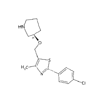 Cc1nc(-c2ccc(Cl)cc2)sc1CO[C@@H]1CCCNC1